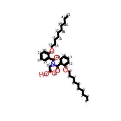 CCCCCCCCCCOc1ccccc1C(=O)N(CC(=O)O)C(=O)c1ccccc1OCCCCCCCCCC